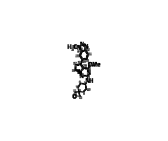 COc1nc(NC2CCC3(CC2)COC3)nn2ccc(-c3ccc4nnn(C)c4c3)c12